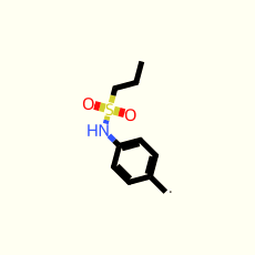 [CH2]c1ccc(NS(=O)(=O)CCC)cc1